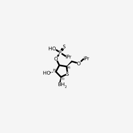 B[C@@H]1S[C@H](COC(C)C)C(OP(O)(=S)C(C)C)[C@H]1O